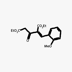 CCOC(=O)CC(=O)/C(=C/c1ccccc1OC)C(=O)OCC